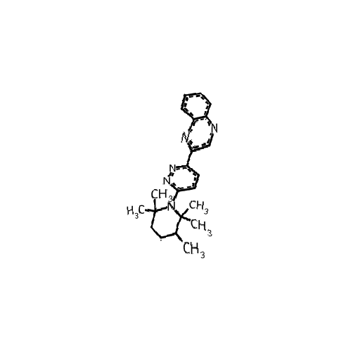 CC1[CH]CC(C)(C)N(c2ccc(-c3cnc4ccccc4n3)nn2)C1(C)C